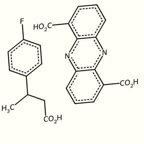 CC(CC(=O)O)c1ccc(F)cc1.O=C(O)c1cccc2nc3c(C(=O)O)cccc3nc12